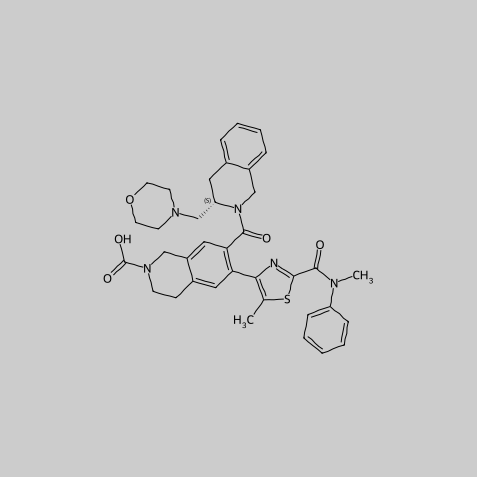 Cc1sc(C(=O)N(C)c2ccccc2)nc1-c1cc2c(cc1C(=O)N1Cc3ccccc3C[C@H]1CN1CCOCC1)CN(C(=O)O)CC2